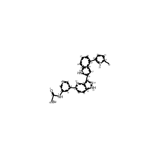 CCCCC(=O)Nc1cncc(-c2ccc3[nH]nc(-c4cc5c(-c6ccc(C)s6)cccc5[nH]4)c3n2)c1